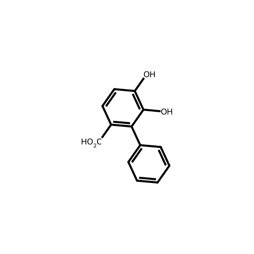 O=C(O)c1ccc(O)c(O)c1-c1ccccc1